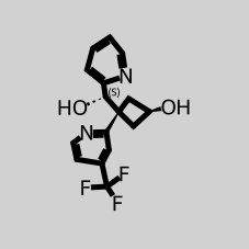 O[C@H](c1ccccn1)[C@]1(c2cc(C(F)(F)F)ccn2)C[C@@H](O)C1